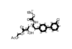 CC(=O)OCOC(=O)[C@H](O)C[C@@H](Cc1ccc(-c2cccc(Cl)c2)cc1)NC(=O)OC(C)(C)C